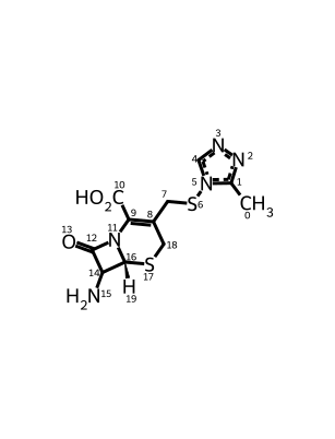 Cc1nncn1SCC1=C(C(=O)O)N2C(=O)C(N)[C@H]2SC1